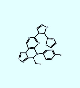 CC[C@H]1c2nncn2-c2cnc(C3C=NNC3c3nccs3)nc2N1c1ccc(Cl)cc1